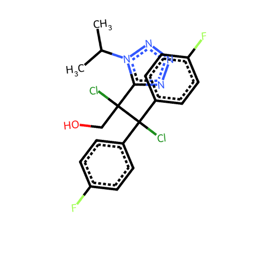 CC(C)n1nnnc1C(Cl)(CO)C(Cl)(c1ccc(F)cc1)c1ccc(F)cc1